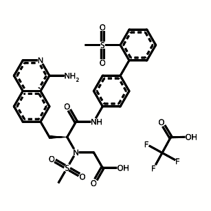 CS(=O)(=O)c1ccccc1-c1ccc(NC(=O)[C@H](Cc2ccc3ccnc(N)c3c2)N(CC(=O)O)S(C)(=O)=O)cc1.O=C(O)C(F)(F)F